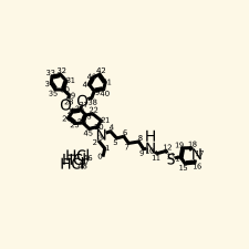 CCCN(CCCCCCNCCSc1ccncc1)C1CCc2c(ccc(OCc3ccccc3)c2OCc2ccccc2)C1.Cl.Cl.Cl